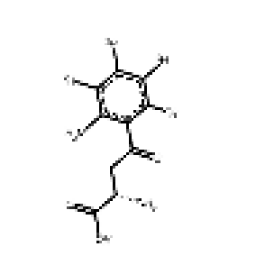 [2H]c1c([2H])c([2H])c(C(=O)C[C@H](N)C(=O)O)c(N)c1[2H]